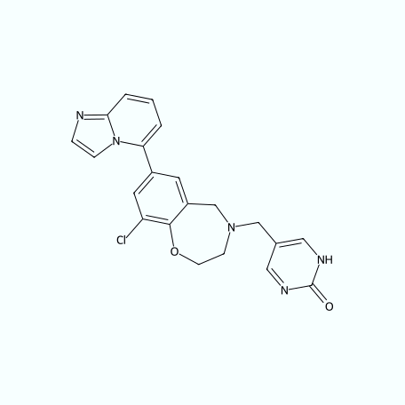 O=c1ncc(CN2CCOc3c(Cl)cc(-c4cccc5nccn45)cc3C2)c[nH]1